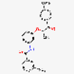 COc1ccc(C(=O)C(C)Oc2cccc(NC(=O)c3cccc([N+](=O)[O-])c3)c2)cc1